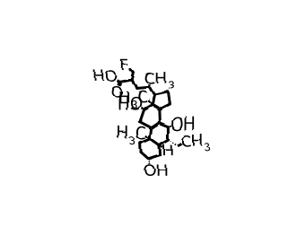 CC[C@H]1[C@@H](O)C2C3CCC([C@H](C)CC(CF)C(=O)O)[C@@]3(C)[C@@H](O)CC2[C@@]2(C)CC[C@@H](O)C[C@@H]12